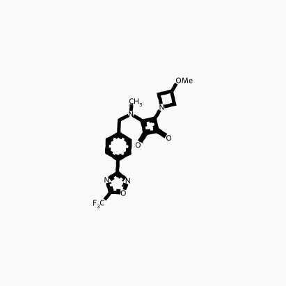 COC1CN(c2c(N(C)Cc3ccc(-c4noc(C(F)(F)F)n4)cc3)c(=O)c2=O)C1